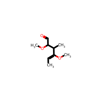 CC=C(OC)C(C)C(C=O)OC